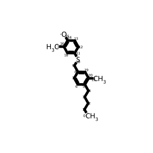 CCCCCc1ccc(CSc2ccc([O])c(C)c2)cc1C